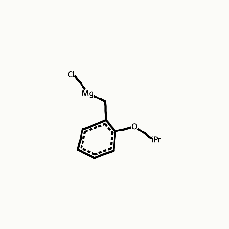 CC(C)Oc1ccccc1[CH2][Mg][Cl]